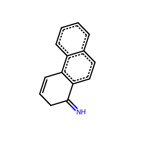 N=C1CC=Cc2c1ccc1ccccc21